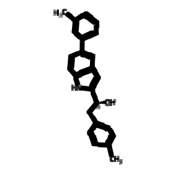 Cc1ccc(C[C@@H](O)c2cc3cc(-c4cccc(C)c4)ccc3[nH]2)cc1